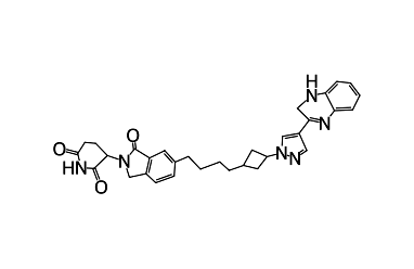 O=C1CCC(N2Cc3ccc(CCCCC4CC(n5cc(C6=Nc7ccccc7NC6)cn5)C4)cc3C2=O)C(=O)N1